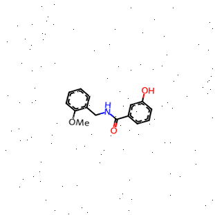 COc1ccccc1CNC(=O)c1cccc(O)c1